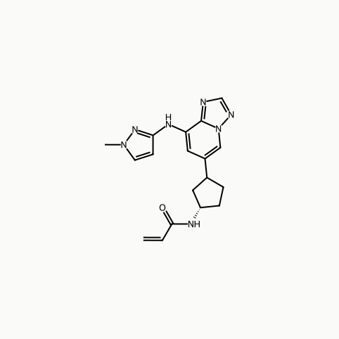 C=CC(=O)N[C@H]1CCC(c2cc(Nc3ccn(C)n3)c3ncnn3c2)C1